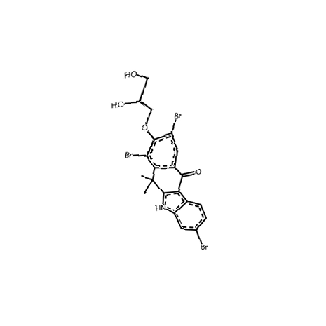 CC1(C)c2[nH]c3cc(Br)ccc3c2C(=O)c2cc(Br)c(OCC(O)CO)c(Br)c21